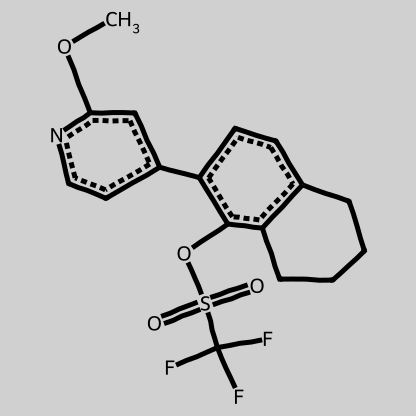 COc1cc(-c2ccc3c(c2OS(=O)(=O)C(F)(F)F)CCCC3)ccn1